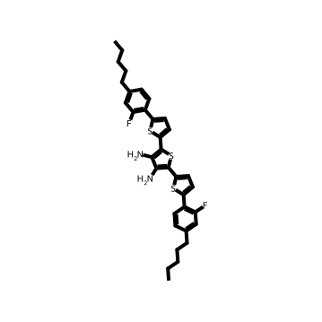 CCCCCc1ccc(-c2ccc(-c3sc(-c4ccc(-c5ccc(CCCCC)cc5F)s4)c(N)c3N)s2)c(F)c1